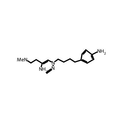 C=NN(/C=C(\N)CCNC)CCCCc1ccc(N)cc1